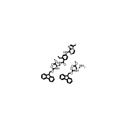 CCc1cc(Nc2nccn3c(I)cnc23)ccc1C(=O)NC[C@@H](NC(=O)OCC1c2ccccc2-c2ccccc21)C(=O)OC.COC(=O)[C@H](CN)NC(=O)OCC1c2ccccc2-c2ccccc21